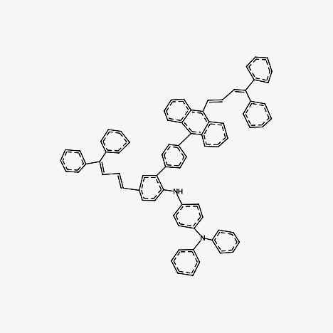 C(=Cc1ccc(Nc2ccc(N(c3ccccc3)c3ccccc3)cc2)c(-c2ccc(-c3c4ccccc4c(C=CC=C(c4ccccc4)c4ccccc4)c4ccccc34)cc2)c1)C=C(c1ccccc1)c1ccccc1